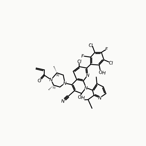 C=CC(=O)N1[C@H](C)CN(C2=C(C#N)C(O)N(c3c(C)ccnc3C(C)C)c3nc(-c4c(O)c(Cl)c(F)c(Cl)c4F)c(Cl)cc32)C[C@@H]1C